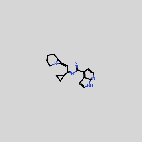 N=C(/N=C(\C=C1\C2CCCCN12)C1CC1)c1ccnc2[nH]ccc12